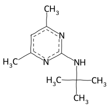 Cc1cc(C)nc(NC(C)(C)C)n1